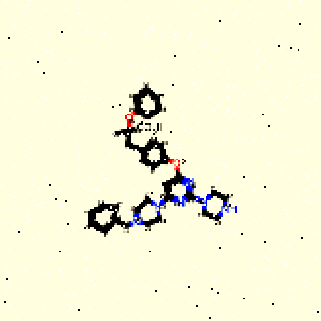 CC(Cc1ccc(Oc2cc(N3CCN(Cc4ccccc4)CC3)nc(N3CCNCC3)n2)cc1)(Oc1ccccc1)C(=O)O